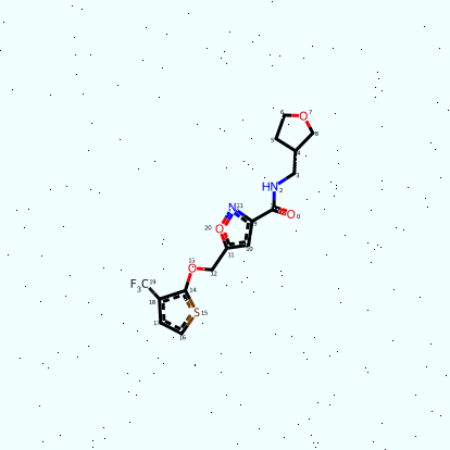 O=C(NCC1CCOC1)c1cc(COc2sccc2C(F)(F)F)on1